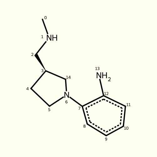 CNC[C@@H]1CCN(c2ccccc2N)C1